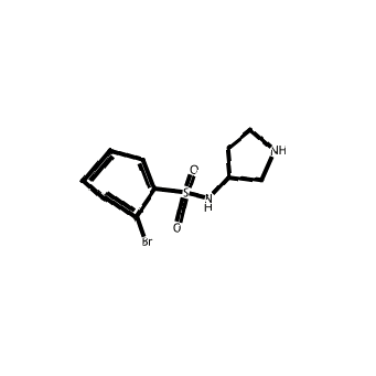 O=S(=O)(NC1CCNC1)c1ccccc1Br